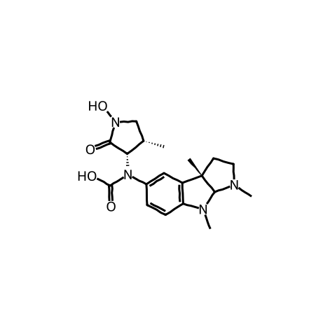 C[C@H]1CN(O)C(=O)[C@H]1N(C(=O)O)c1ccc2c(c1)[C@]1(C)CCN(C)C1N2C